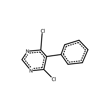 Clc1ncnc(Cl)c1-c1ccccc1